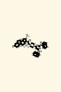 CC1C[C@H]2[C@@H]3CCC4=CC(=O)C=C[C@]4(C)C3=CC[C@]2(C)[C@H]1C(=O)CN1CCN(c2cc(NC34CC5CC(CC(C5)C3)C4)nc(NC34CC5CC(CC(C5)C3)C4)n2)CC1